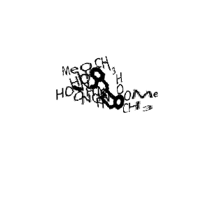 COc1c(C)cc2c(c1O)C1C3Cc4cc(C)c(OC)c(O)c4C(CNC(=O)CO)N3[C@@H](C#N)[C@H](C2)N1C